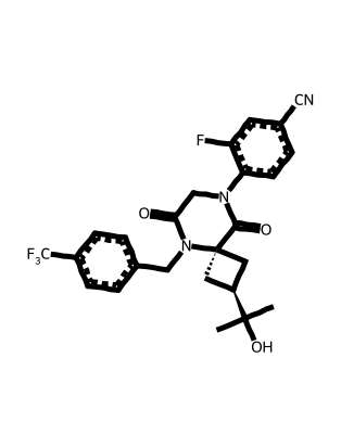 CC(C)(O)[C@H]1C[C@@]2(C1)C(=O)N(c1ccc(C#N)cc1F)CC(=O)N2Cc1ccc(C(F)(F)F)cc1